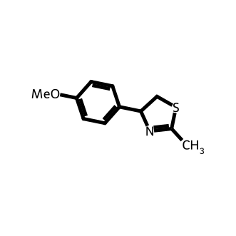 COc1ccc(C2CSC(C)=N2)cc1